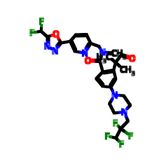 CN(Cc1ccc(-c2nnc(C(F)F)o2)cn1)C(=O)c1ccc(N2CCN(CC(F)(F)C(F)F)CC2)cc1C(C)(C)C=O